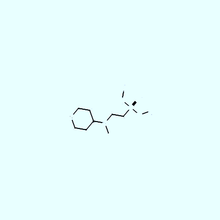 CCOP(=O)(CCN(C)C1CCNCC1)OCC